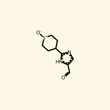 O=Cc1cnc(C2CC[S+]([O-])CC2)[nH]1